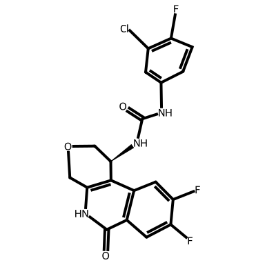 O=C(Nc1ccc(F)c(Cl)c1)N[C@@H]1COCc2[nH]c(=O)c3cc(F)c(F)cc3c21